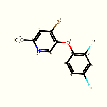 O=C(O)c1cc(Br)c(Oc2ccc(F)cc2F)cn1